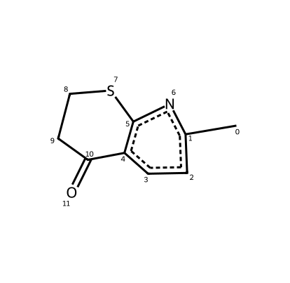 Cc1ccc2c(n1)SCCC2=O